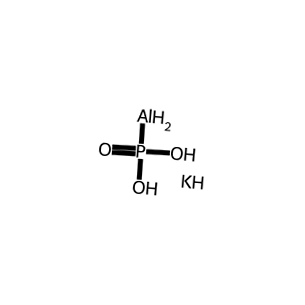 O=[P](O)(O)[AlH2].[KH]